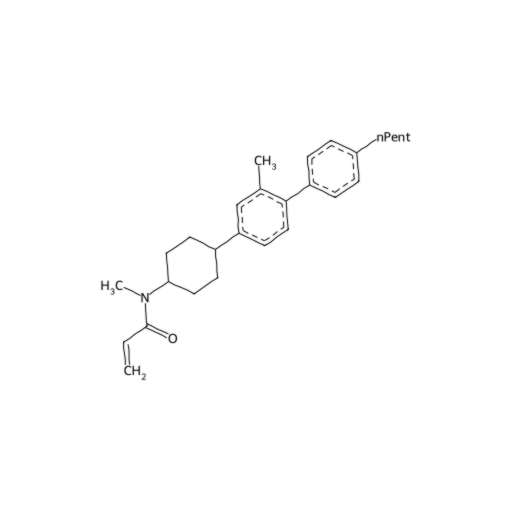 C=CC(=O)N(C)C1CCC(c2ccc(-c3ccc(CCCCC)cc3)c(C)c2)CC1